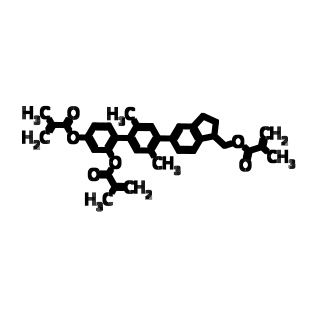 C=C(C)C(=O)OCC1CCc2cc(-c3cc(C)c(-c4ccc(OC(=O)C(=C)C)cc4OC(=O)C(=C)C)cc3C)ccc21